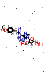 COc1ccc(SCNc2ncnc3c2ncn3[C@@H]2O[C@H](CO)C[C@H]2O)cc1